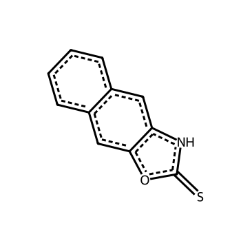 S=c1[nH]c2cc3ccccc3cc2o1